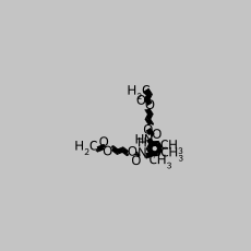 C=CC(=O)OCCCCOC(=O)NC[C@@]1(C)CC(NC(=O)OCCCCOC(=O)C=C)CC(C)(C)C1